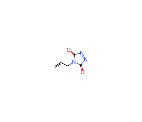 C=CCN1C(=O)N=NC1=O